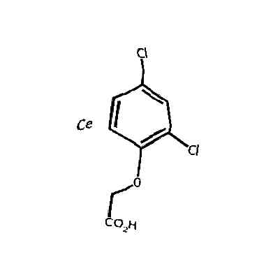 O=C(O)COc1ccc(Cl)cc1Cl.[Ce]